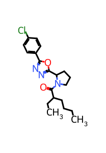 CCCCC(CC)C(=O)N1CCCC1c1nnc(-c2ccc(Cl)cc2)o1